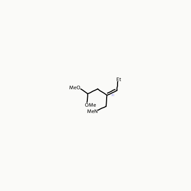 CC/C=C(/CNC)CC(OC)OC